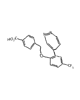 O=C(O)c1ccc(COc2ccc(C(F)(F)F)cc2-c2ccnnc2)cc1